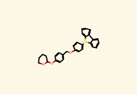 c1ccc2c(c1)-c1ccccc1[SH]2c1ccc(OCc2ccc(OC3CCCCO3)cc2)cc1